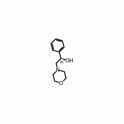 O[C@@H](CN1CCOCC1)c1ccccc1